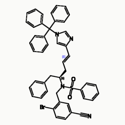 N#Cc1ccc(Br)c(CN([C@H](C/C=C/c2cn(C(c3ccccc3)(c3ccccc3)c3ccccc3)cn2)Cc2ccccc2)S(=O)(=O)c2ccccc2)c1